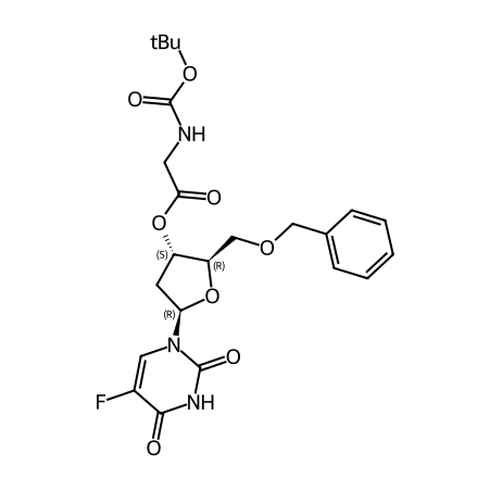 CC(C)(C)OC(=O)NCC(=O)O[C@H]1C[C@H](n2cc(F)c(=O)[nH]c2=O)O[C@@H]1COCc1ccccc1